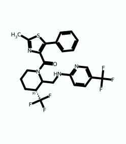 Cc1nc(C(=O)N2CCC[C@@H](C(F)(F)F)C2CNc2ccc(C(F)(F)F)cn2)c(-c2ccccc2)s1